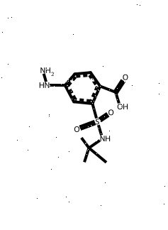 CC(C)(C)NS(=O)(=O)c1cc(NN)ccc1C(=O)O